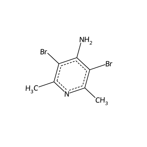 Cc1nc(C)c(Br)c(N)c1Br